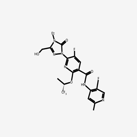 CCn1c(CO)nn(-c2nc(O[C@@H](C)C(F)(F)F)c(C(=O)Nc3cc(C)ncc3F)cc2F)c1=O